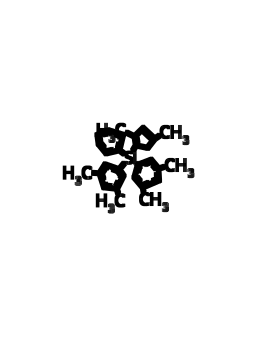 CC1=CC(C)=C([Si](c2ccccc2)(c2cc(C)cc(C)c2)c2cc(C)cc(C)c2)C1